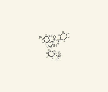 O=C(NC(C(=O)NC1CCCCC1)c1ccc(F)cc1F)c1cccc(C(F)(F)F)c1